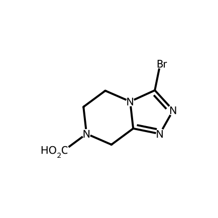 O=C(O)N1CCn2c(Br)nnc2C1